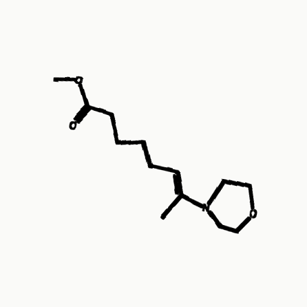 COC(=O)CCCC/C=C(\C)N1CCOCC1